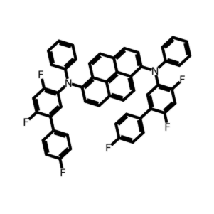 Fc1ccc(-c2cc(N(c3ccccc3)c3ccc4ccc5c(N(c6ccccc6)c6cc(-c7ccc(F)cc7)c(F)cc6F)ccc6ccc3c4c65)c(F)cc2F)cc1